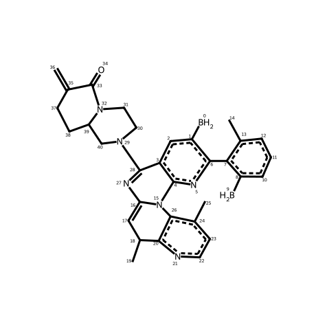 Bc1cc2c(nc1-c1c(B)cccc1C)N1C(=CC(C)c3nccc(C)c31)N=C2N1CCN2C(=O)C(=C)CCC2C1